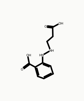 O=C(O)CCNNc1ccccc1C(=O)O